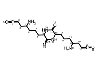 NC(CC=C=O)CCCC1NC(=O)C(CCCC(N)CC=C=O)NC1=O